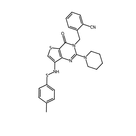 Cc1ccc(SNc2csc3c(=O)n(Cc4ccccc4C#N)c(N4CCCCC4)nc23)cc1